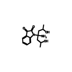 CC(O)CC(N)(CC(C)O)N1C(=O)C(=O)c2ccccc21